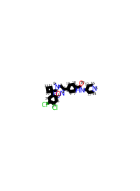 CN(CC(N)c1ccc(C(=O)Nc2ccncc2)cc1)C(=O)C1(c2ccc(Cl)c(Cl)c2)CCC1